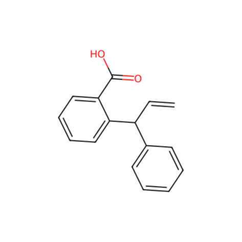 C=CC(c1ccccc1)c1ccccc1C(=O)O